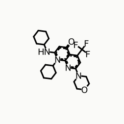 O=c1cc(NC2CCCCC2)n(C2CCCCC2)c2nc(N3CCOCC3)cc(C(F)(F)F)c12